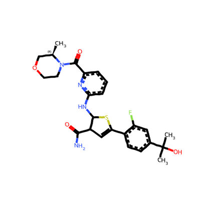 C[C@@H]1COCCN1C(=O)c1cccc(NC2SC(c3ccc(C(C)(C)O)cc3F)=CC2C(N)=O)n1